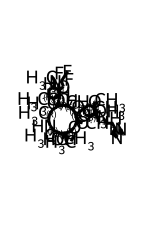 CC[C@H]1OC(=O)[C@H](C)[C@@H](O[C@H]2C[C@@](C)(OC)[C@](O)(CNCCn3cncn3)[C@H](C)O2)[C@H](C)[C@@H](O[C@@H]2O[C@H](C)C[C@H]3[C@H]2OC(C(F)(F)F)N3C)[C@](C)(O)C[C@@H](C)CN[C@H](C)[C@@H](O)[C@]1(C)O